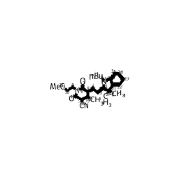 CCCCN1/C(=C\C=C2\C(=O)N(CCOC)C(=O)C(C#N)=C2C)C(C)(C)c2ccccc21